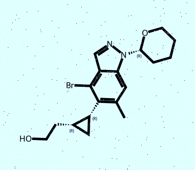 Cc1cc2c(cnn2[C@H]2CCCCO2)c(Br)c1[C@@H]1C[C@@H]1CCO